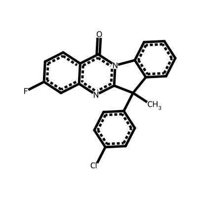 CC1(c2ccc(Cl)cc2)c2ccccc2-n2c1nc1cc(F)ccc1c2=O